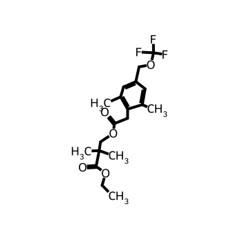 CCOC(=O)C(C)(C)COC(=O)Cc1c(C)cc(COC(F)(F)F)cc1C